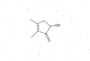 CC1=C(C)C(=O)C(O)C1